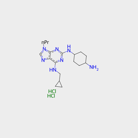 CCCn1cnc2c(NCC3CC3)nc(NC3CCC(N)CC3)nc21.Cl.Cl